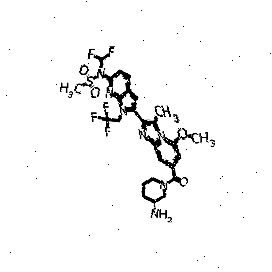 COc1cc(C(=O)N2CCC[C@@H](N)C2)cc2nc(-c3cc4ccc(N(C(F)F)S(C)(=O)=O)nc4n3CC(F)(F)F)c(C)n12